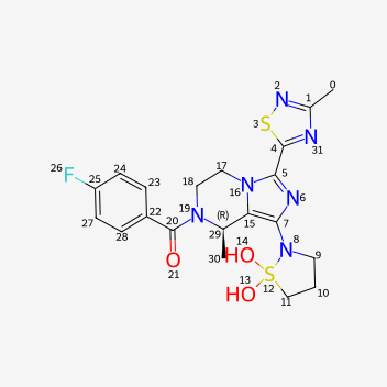 Cc1nsc(-c2nc(N3CCCS3(O)O)c3n2CCN(C(=O)c2ccc(F)cc2)[C@@H]3C)n1